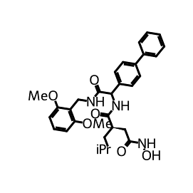 COc1cccc(OC)c1CNC(=O)C(NC(=O)[C@@H](CC(=O)NO)CC(C)C)c1ccc(-c2ccccc2)cc1